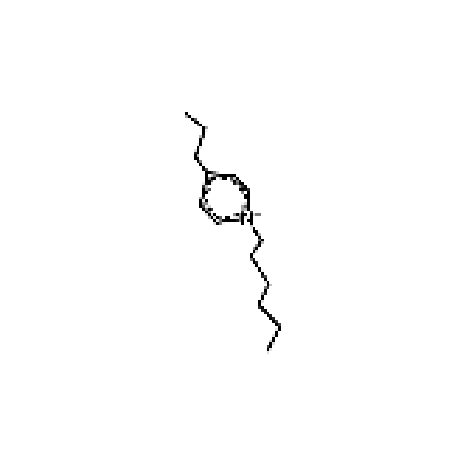 CCCCCC[n+]1ccc(CCC)cc1